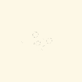 O=C1NCCc2[nH]c(-c3ccncc3OCCN3CCOCC3)c(Nc3cccc(Cl)c3OC(F)F)c21